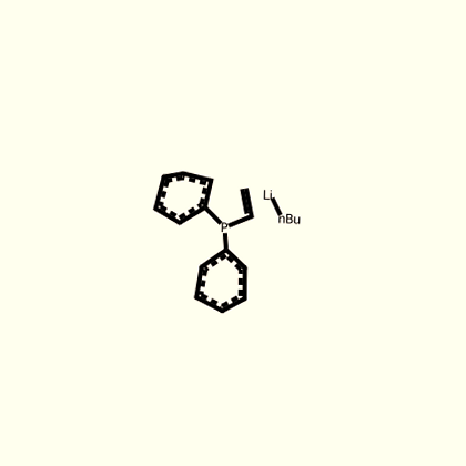 C=CP(c1ccccc1)c1ccccc1.[Li][CH2]CCC